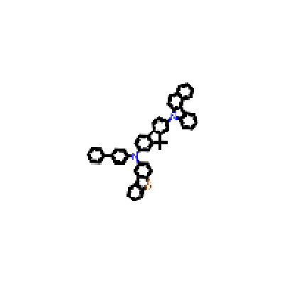 CC1(C)c2cc(N(c3ccc(-c4ccccc4)cc3)c3ccc4sc5ccccc5c4c3)ccc2-c2ccc(-n3c4ccccc4c4c5ccccc5ccc43)cc21